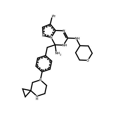 CC(C)c1cnn2c1N=C(NC1CCOCC1)NC2(N)Cc1ccc(N2CCNC3(CC3)C2)cc1